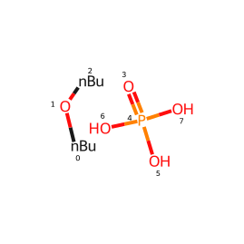 CCCCOCCCC.O=P(O)(O)O